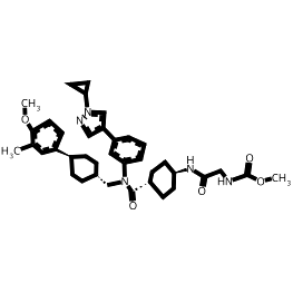 COC(=O)NCC(=O)N[C@H]1CC[C@H](C(=O)N(C[C@H]2CC[C@H](c3ccc(OC)c(C)c3)CC2)c2cccc(-c3cnn(C4CC4)c3)c2)CC1